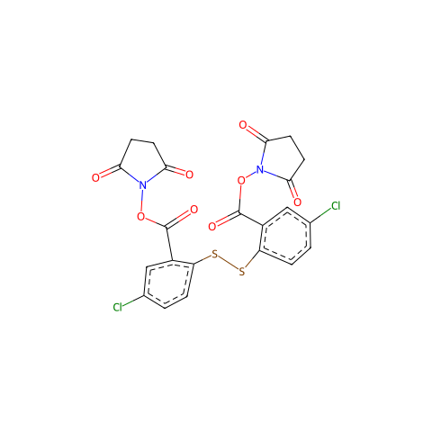 O=C(ON1C(=O)CCC1=O)c1cc(Cl)ccc1SSc1ccc(Cl)cc1C(=O)ON1C(=O)CCC1=O